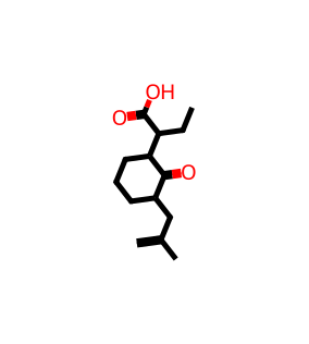 C=C(C)CC1CCCC(C(CC)C(=O)O)C1=O